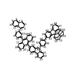 c1cc(-c2cccc3ccccc23)cc(-c2c3ccccc3c(-c3ccc4c5ccccc5n(-c5ccc(-c6ccc7c(c6)C6(c8ccccc8-7)C7CCC8CC(C7)CC86)cc5)c4c3)c3ccccc23)c1